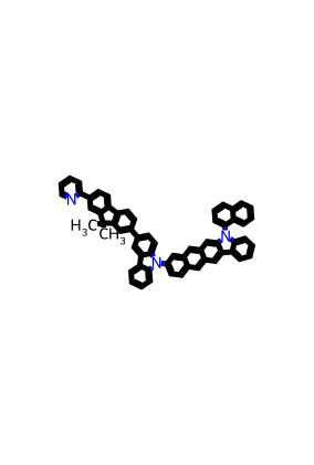 CC1(C)c2cc(-c3ccc4c(c3)c3ccccc3n4-c3ccc4cc5cc6c7ccccc7n(-c7cccc8ccccc78)c6cc5cc4c3)ccc2-c2ccc(-c3ccccn3)cc21